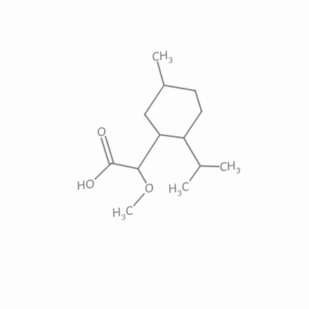 COC(C(=O)O)C1CC(C)CCC1C(C)C